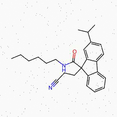 CCCCCCNC(=O)C1(CCC#N)c2ccccc2-c2ccc(C(C)C)cc21